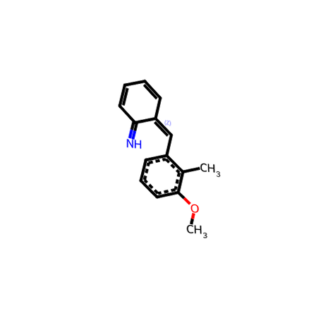 COc1cccc(/C=C2/C=CC=CC2=N)c1C